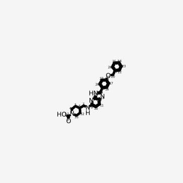 O=C(O)N1CCC(CNc2ccc3nc(-c4ccc(OCc5ccccc5)cc4)[nH]c3n2)CC1